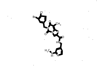 CNc1cc(CNC(=O)c2cn3c(=O)n(Cc4ccc(Cl)c(Br)c4)c(=O)c(C)c3s2)ccn1